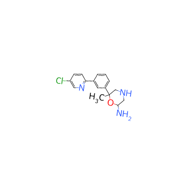 CC1(c2cccc(-c3ccc(Cl)cn3)c2)CNCC(N)O1